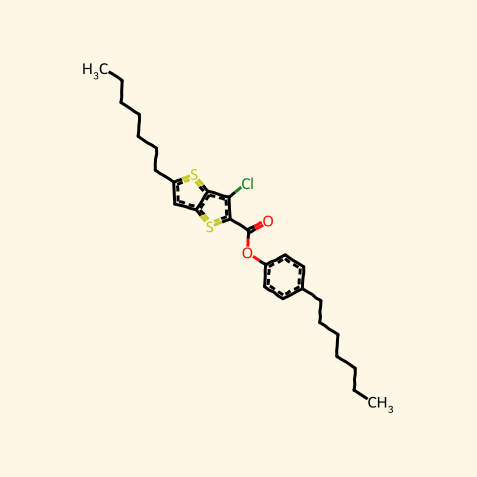 CCCCCCCc1ccc(OC(=O)c2sc3cc(CCCCCCC)sc3c2Cl)cc1